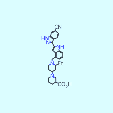 CCC1CC(N2CCCC(C(=O)O)C2)CCN1Cc1cccc2[nH]c(-c3n[nH]c4cc(C#N)ccc34)cc12